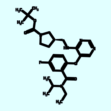 CCN(C(=O)c1cc(F)ccc1Oc1cncnc1NC[C@@H]1CCN(C(=O)OC(C)(C)C)C1)C(C)C